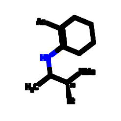 CC[C@H](NC)C(C)NC1=C(C(C)=O)CCCC1